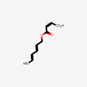 CCCCC=CC=CCOC(=O)/C=C\C(=O)O